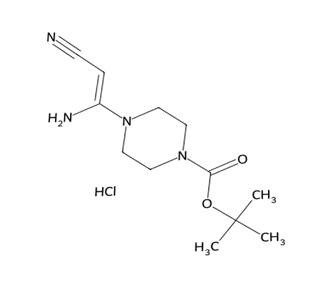 CC(C)(C)OC(=O)N1CCN(C(N)=CC#N)CC1.Cl